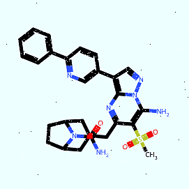 CS(=O)(=O)c1c(CC2CC3CCC(C2)N3C(N)=O)nc2c(-c3ccc(-c4ccccc4)nc3)cnn2c1N